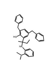 CCC(C)(Pc1ccccc1N(C)C)c1cc(Cc2ccccc2)cc(Cc2ccccc2)c1O